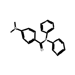 CN(C)c1ccc(C(=O)P(c2ccccc2)c2ccccc2)cc1